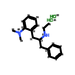 CCNC(Cc1ccccc1)Cc1ccccc1N(C)C.Cl.Cl